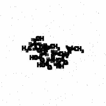 C1CN1.CC1CN1CCC(=O)O.CC1CN1CCC(=O)O.CC1CN1CCC(=O)O.CCC(CO)(CO)CO